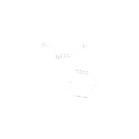 CON=C([C]=O)C1=CSCCO1